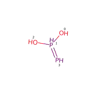 O[PH](O)=P